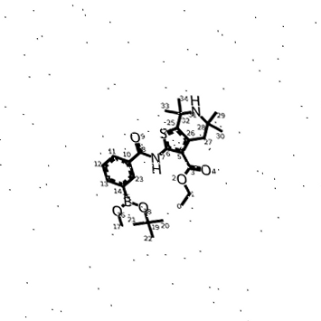 CCOC(=O)c1c(NC(=O)c2cccc(B(OC)OC(C)(C)C)c2)sc2c1CC(C)(C)NC2(C)C